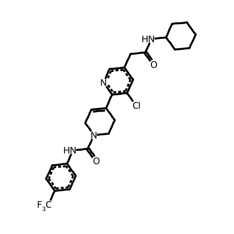 O=C(Cc1cnc(C2=CCN(C(=O)Nc3ccc(C(F)(F)F)cc3)CC2)c(Cl)c1)NC1CCCCC1